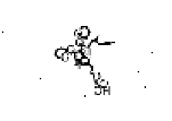 CC#CCC(C)CC=C(OC1CCCCO1)[C@H]1[C@@H]2CC(CCOCC(=O)O)=C[C@@H]2C[C@@H]1OC1CCCCO1